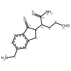 NCc1ccc2c(c1)CC(C(CCC=O)C(N)=O)C2=O